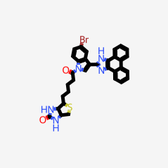 O=C1NC2CSC(CCCCC(=O)n3cc(-c4nc5c6ccccc6c6ccccc6c5[nH]4)c4cc(Br)ccc43)C2N1